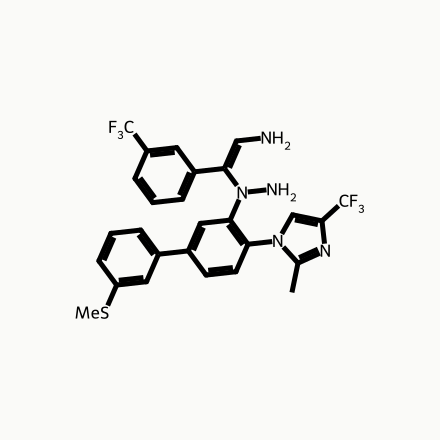 CSc1cccc(-c2ccc(-n3cc(C(F)(F)F)nc3C)c(N(N)/C(=C\N)c3cccc(C(F)(F)F)c3)c2)c1